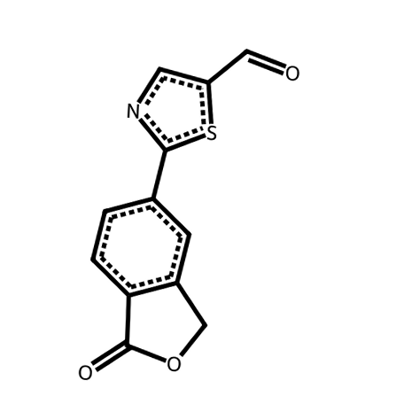 O=Cc1cnc(-c2ccc3c(c2)COC3=O)s1